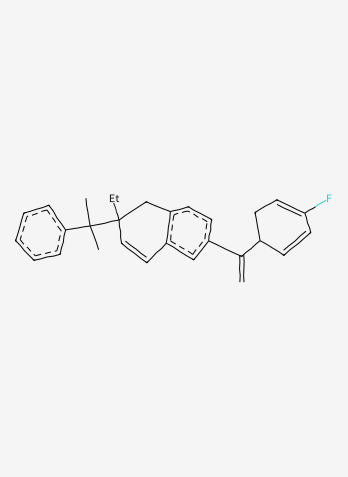 C=C(c1ccc2c(c1)C=CC(CC)(C(C)(C)c1ccccc1)C2)C1C=CC(F)=CC1